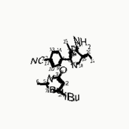 C=C(/C=C(\N=C(\C)C(C)CC)Oc1cc(C#N)ccc1C(/N=C\C(=C/C)CN)=C(\C)CC)C(C)CC